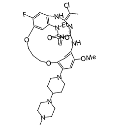 C=N/C1=N\C(=C(/C)Cl)Nc2cc(F)c(cc2N(CC)S(C)(=O)=O)OCCCOc2cc(c(OC)cc2N2CCC(N3CCN(C)CC3)CC2)N1